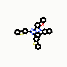 c1ccc2cc3c(cc2c1)c1ccccc1n3-c1c(-c2nc(-c3ccc4c(c3)sc3ccccc34)nc(-c3ccc4c(c3)sc3ccccc34)n2)ccc2c1oc1ccccc12